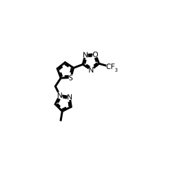 Cc1cnn(Cc2ccc(-c3noc(C(F)(F)F)n3)s2)c1